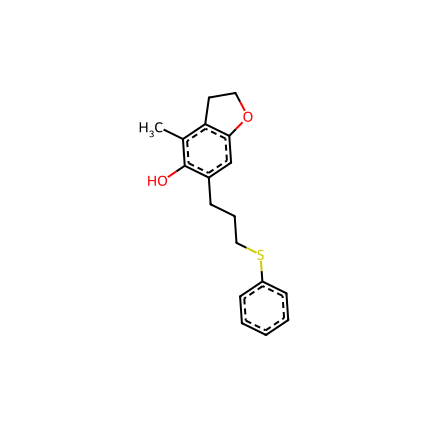 Cc1c(O)c(CCCSc2ccccc2)cc2c1CCO2